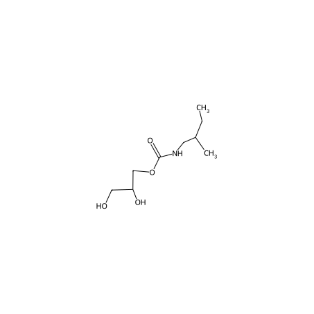 CCC(C)CNC(=O)OCC(O)CO